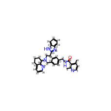 Cc1ccnc(C)c1C(=O)NCc1ccc(CN(CCc2nc3ccccc3[nH]2)C2CCCc3cccnc32)cc1